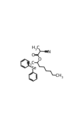 CCCCCCC(C)OC(=O)C(C)C#N.c1ccc([Se]c2ccccc2)cc1